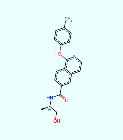 C[C@H](CO)NC(=O)c1ccc2c(Oc3ccc(C(F)(F)F)cc3)nccc2c1